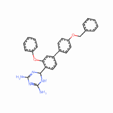 NC1=NC(c2ccc(-c3ccc(OCc4ccccc4)cc3)cc2Oc2ccccc2)NC(N)=N1